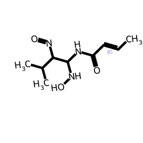 C/C=C/C(=O)NC(NO)C(N=O)C(C)C